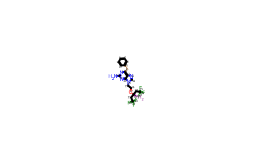 Nc1nc(Sc2ccccc2)c2ncn(CCOC(P)(CC(F)(F)F)CC(F)(F)F)c2n1